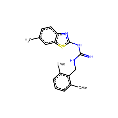 COc1cccc(OC)c1CNC(=N)Nc1nc2ccc(C)cc2s1